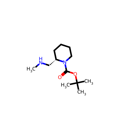 CNC[C@@H]1CCCCN1C(=O)OC(C)(C)C